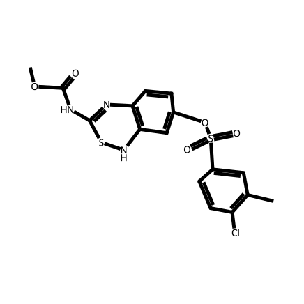 COC(=O)NC1=Nc2ccc(OS(=O)(=O)c3ccc(Cl)c(C)c3)cc2NS1